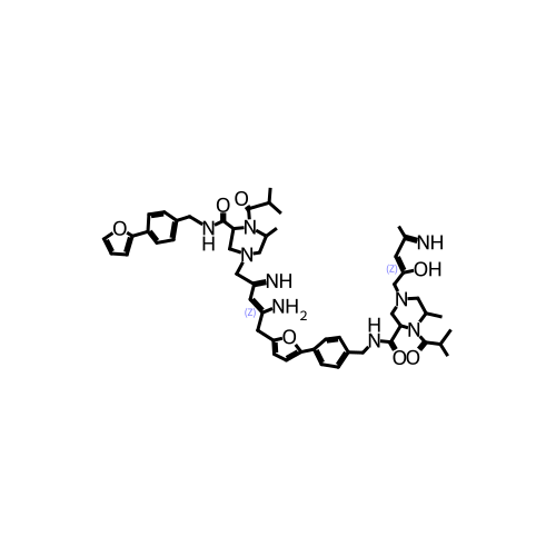 CC(=N)/C=C(\O)CN1CC(C)N(C(=O)C(C)C)C(C(=O)NCc2ccc(-c3ccc(C/C(N)=C/C(=N)CN4CC(C)N(C(=O)C(C)C)C(C(=O)NCc5ccc(-c6ccco6)cc5)C4)o3)cc2)C1